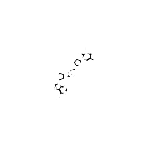 CC[C@H]1O[C@@H](n2cnc3c(N)ncnc32)C[C@H]1OP(=O)(S)OC[C@@H]1CC[C@H](n2cc(C)c(=O)[nH]c2=O)O1